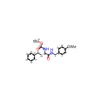 COc1ccc(CNC(=O)[C@H](CCc2ccccc2)NC(=O)OC(C)(C)C)cc1